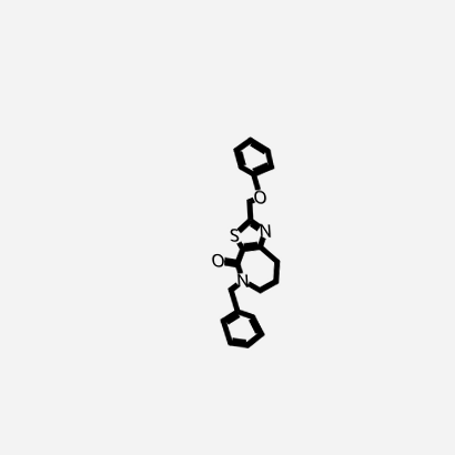 O=C1c2sc(COc3ccccc3)nc2CCCN1Cc1ccccc1